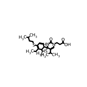 CCC1=C(SCCC(C)C)C=CC([C@]2(S)NC(=O)N(CCC(=O)O)C=C2C(C)C)C1C